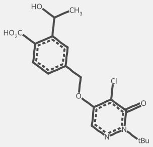 CC(O)c1cc(COc2cnn(C(C)(C)C)c(=O)c2Cl)ccc1C(=O)O